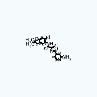 CC1(C)Cc2cc(NC(=O)c3coc(-c4ccnc(N)c4)n3)c(Cl)cc2O1